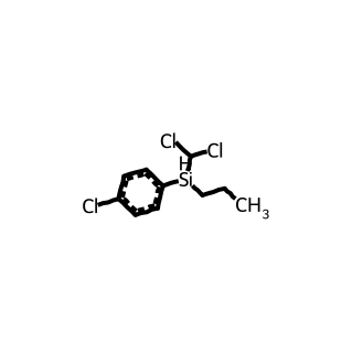 CCC[SiH](c1ccc(Cl)cc1)C(Cl)Cl